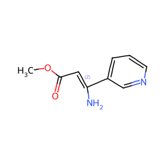 COC(=O)/C=C(\N)c1cccnc1